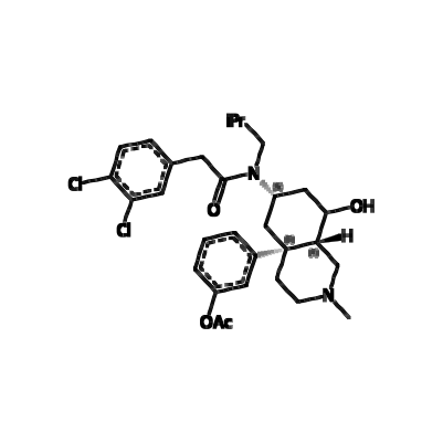 CC(=O)Oc1cccc([C@@]23CCN(C)C[C@H]2C(O)C[C@@H](N(CC(C)C)C(=O)Cc2ccc(Cl)c(Cl)c2)C3)c1